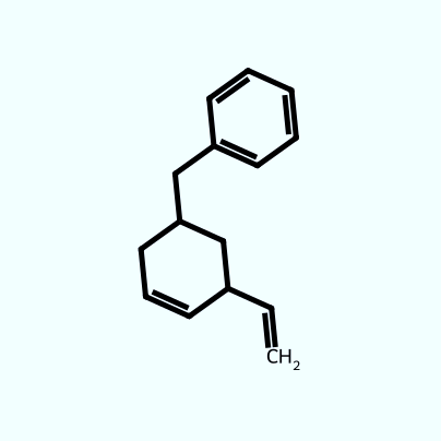 C=CC1C=CCC(Cc2ccccc2)C1